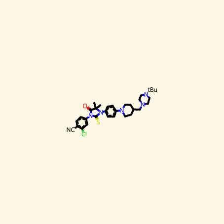 CC(C)(C)N1CCN(CC2CCN(c3ccc(N4C(=S)N(c5ccc(C#N)c(Cl)c5)C(=O)C4(C)C)cc3)CC2)CC1